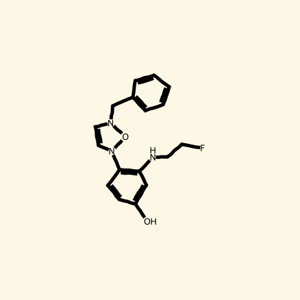 Oc1ccc(N2C=CN(Cc3ccccc3)O2)c(NCCF)c1